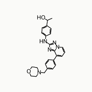 CC(O)c1ccc(Nc2nc3c(-c4ccc(CN5CCOCC5)cc4)cccn3n2)cc1